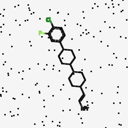 CCC/C=C/C1CCC(C2CCC(c3ccc(Cl)c(F)c3)CC2)CC1